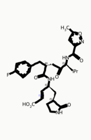 Cc1cc(C(=O)N[C@H](C(=O)C[C@@H](Cc2ccc(F)cc2)C(=O)N[C@H](/C=C/C(=O)O)C[C@@H]2CCNC2=O)C(C)C)no1